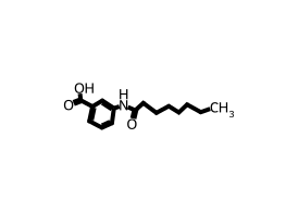 CCCCCCCC(=O)Nc1cccc(C(=O)O)c1